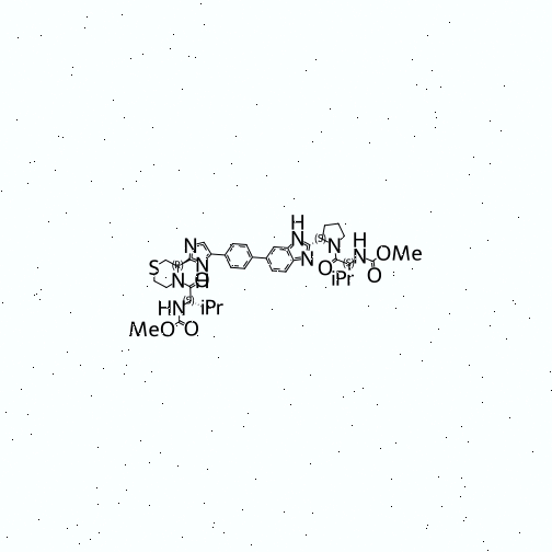 COC(=O)N[C@H](C(=O)N1CCSC[C@H]1c1ncc(-c2ccc(-c3ccc4nc([C@@H]5CCCN5C(=O)[C@@H](NC(=O)OC)C(C)C)[nH]c4c3)cc2)[nH]1)C(C)C